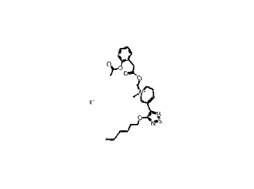 CCCCCCOc1nsnc1C1=CCC[N+](C)(COC(=O)Cc2ccccc2OC(C)=O)C1.[I-]